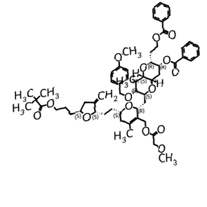 C=C1C[C@H](CCCOC(=O)C(C)(C)C)O[C@H]1CC[C@H]1CC(C)=C(COC(=O)COC)[C@@H](C[C@@H]2O[C@H]3C[C@@H](OC(=O)c4ccccc4)[C@@H](CCOC(=O)c4ccccc4)O[C@H]3[C@H](C)[C@H]2OCc2ccc(OC)cc2)O1